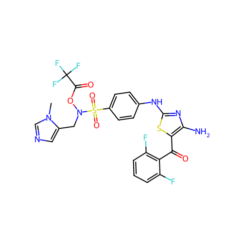 Cn1cncc1CN(OC(=O)C(F)(F)F)S(=O)(=O)c1ccc(Nc2nc(N)c(C(=O)c3c(F)cccc3F)s2)cc1